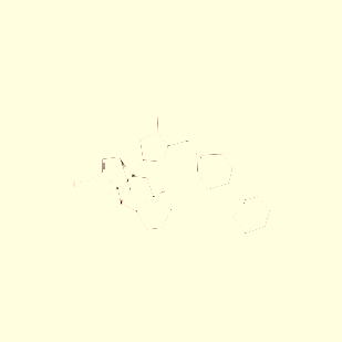 CCC1CC(C23C[C@@H]4[C@H](C)CC[C@H]4C4(C=O)CC2C=C(C(C)C)C34C(=O)O)OC1CN1CCC(N2CCCCC2)CC1